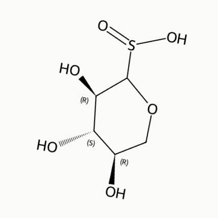 O=S(O)C1OC[C@@H](O)[C@H](O)[C@H]1O